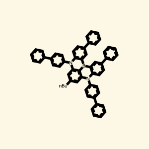 CCCCc1cc2c3c(c1)N(c1ccc(-c4ccccc4)cc1)c1ccc(-c4ccccc4)cc1B3c1cc(-c3ccccc3)ccc1N2c1ccc(-c2ccccc2)cc1